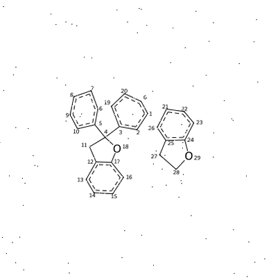 c1ccc(C2(c3ccccc3)Cc3ccccc3O2)cc1.c1ccc2c(c1)CCO2